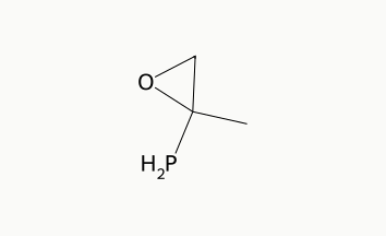 CC1(P)CO1